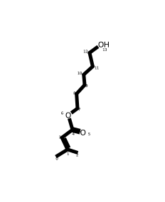 CC(C)=CC(=O)OCCCCCCO